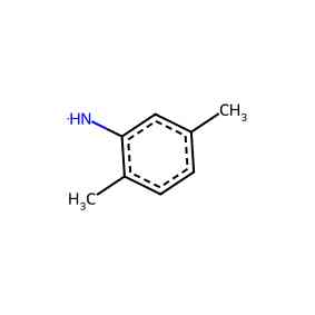 Cc1ccc(C)c([NH])c1